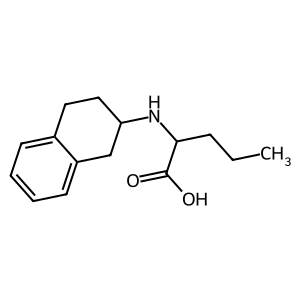 CCCC(NC1CCc2ccccc2C1)C(=O)O